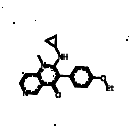 CCOc1ccc(-c2c(NC3CC3)n(C)c3ccncc3c2=O)cc1